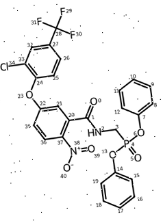 O=C(NCP(=O)(Oc1ccccc1)Oc1ccccc1)c1cc(Oc2ccc(C(F)(F)F)cc2Cl)ccc1[N+](=O)[O-]